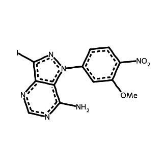 COc1cc(-n2nc(I)c3ncnc(N)c32)ccc1[N+](=O)[O-]